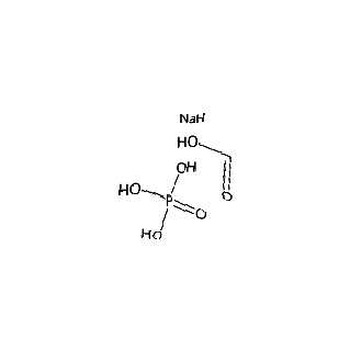 O=CO.O=P(O)(O)O.[NaH]